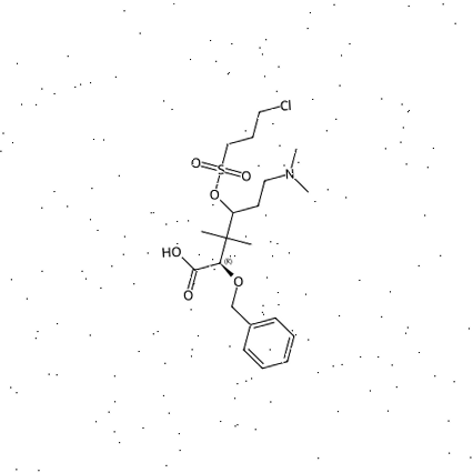 CN(C)CCC(OS(=O)(=O)CCCCl)C(C)(C)[C@@H](OCc1ccccc1)C(=O)O